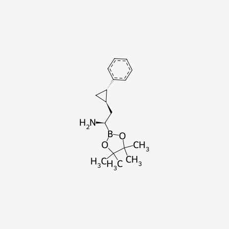 CC1(C)OB([C@@H](N)C[C@H]2C[C@@H]2c2ccccc2)OC1(C)C